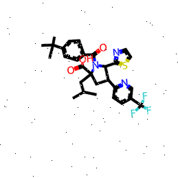 CC(C)CC1(C(=O)O)CC(c2ccc(C(F)(F)F)cn2)C(c2nccs2)N1C(=O)c1ccc(C(C)(C)C)cc1